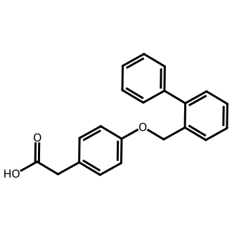 O=C(O)Cc1ccc(OCc2ccccc2-c2ccccc2)cc1